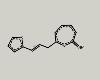 N=c1ccccc(C/C=C/c2cccs2)n1